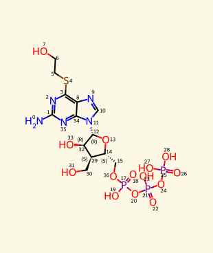 Nc1nc(SCCO)c2ncn([C@@H]3O[C@H](COP(=O)(O)OP(=O)(O)OP(=O)(O)O)[C@@H](CO)[C@H]3O)c2n1